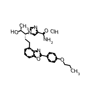 CCCOc1ccc(-c2nc3c(CC[C@H]([C@H](C)O)n4cnc(C(N)=O)c4)cccc3o2)cc1.Cl